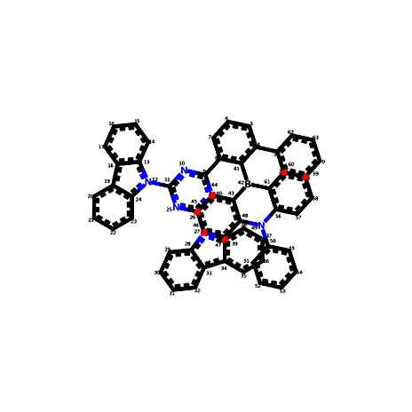 c1ccc(-c2cccc(-c3nc(-n4c5ccccc5c5ccccc54)nc(-n4c5ccccc5c5ccccc54)n3)c2B2c3ccccc3N(c3ccccc3)c3ccccc32)cc1